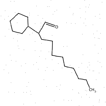 CCCCCCCCCC([C]=O)C1CCCCC1